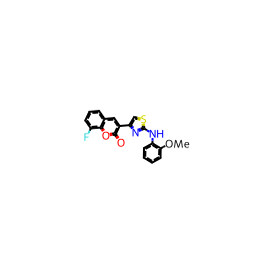 COc1ccccc1Nc1nc(-c2cc3cccc(F)c3oc2=O)cs1